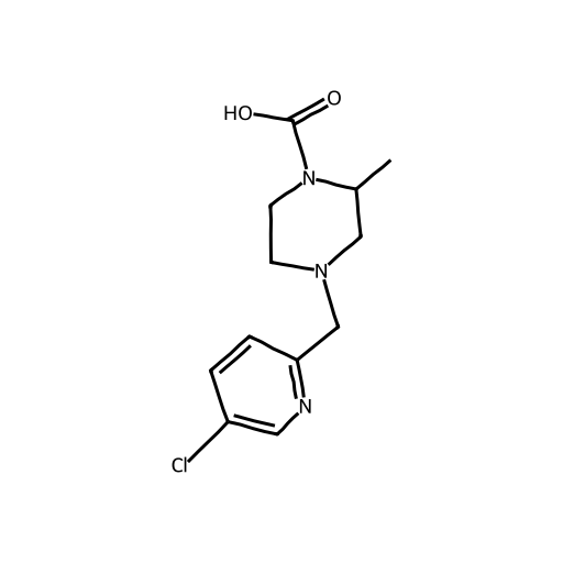 CC1CN(Cc2ccc(Cl)cn2)CCN1C(=O)O